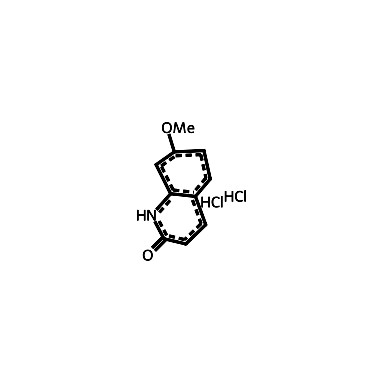 COc1ccc2ccc(=O)[nH]c2c1.Cl.Cl